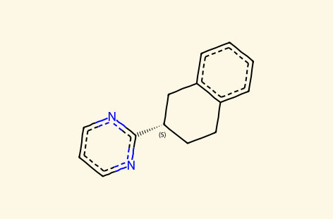 c1cnc([C@H]2CCc3ccccc3C2)nc1